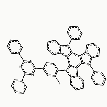 Fc1cc(-c2nc(-c3ccccc3)nc(-c3ccccc3)n2)ccc1-n1c2ccccc2c2c3c(c4ccccc4n3-c3ccccc3)c3c(c4ccccc4n3-c3ccccc3)c21